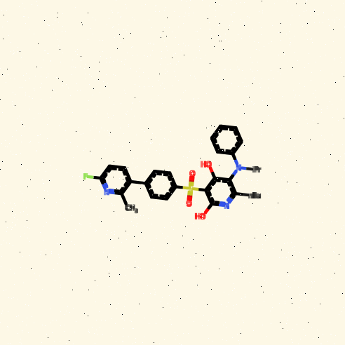 CCCCc1nc(O)c(S(=O)(=O)c2ccc(-c3ccc(F)nc3C)cc2)c(O)c1N(c1ccccc1)C(C)C